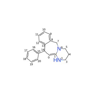 C1=C2NCCCN2Cc2ccccc2C1c1ccccc1